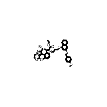 CCOC(=O)c1c(C)c2c(-c3c(CBr)nn4c3COCC4)c(Cl)ccc2n1CCCOc1cc(SCc2ccc(OC)cc2)cc2ccccc12